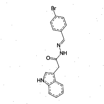 O=C(Cc1c[nH]c2ccccc12)N/N=C/c1ccc(Br)cc1